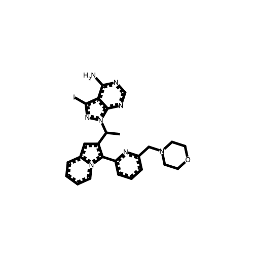 CC(c1cc2ccccn2c1-c1cccc(CN2CCOCC2)n1)n1nc(I)c2c(N)ncnc21